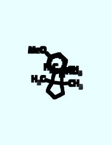 COc1cccc(C2(C)CCCC2(C)N(C)C)c1.Cl